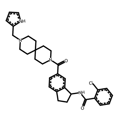 O=C(NC1CCc2ccc(C(=O)N3CCC4(CCN(Cc5ccc[nH]5)CC4)CC3)cc21)c1ccccc1Cl